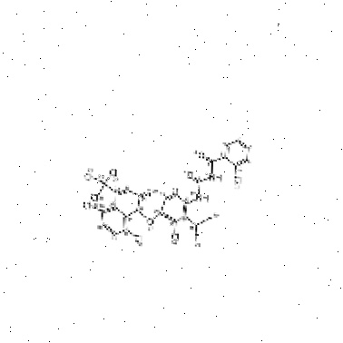 O=C(NC(=O)c1ccccc1Cl)Nc1ccc(OC2C(=S)C=C(C(Cl)(Cl)Cl)c3c(Cl)ccc(Cl)c32)c(Cl)c1C(F)F